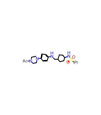 CC(=O)N1CCN(c2ccc(NCC3CCC(NS(=O)(=O)C(C)C)CC3)cc2)CC1